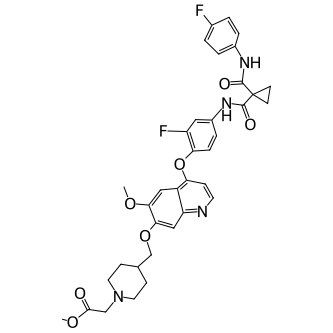 COC(=O)CN1CCC(COc2cc3nccc(Oc4ccc(NC(=O)C5(C(=O)Nc6ccc(F)cc6)CC5)cc4F)c3cc2OC)CC1